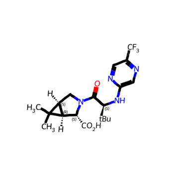 CC(C)(C)[C@H](Nc1cnc(C(F)(F)F)cn1)C(=O)N1C[C@H]2[C@@H]([C@H]1C(=O)O)C2(C)C